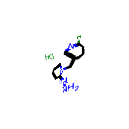 Cl.N/N=c1\ccccn1Cc1ccc(Cl)nc1